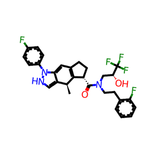 C[C@H]1C2=CNN(c3ccc(F)cc3)C2=CC2=C1[C@@H](C(=O)N(CCc1ccccc1F)C[C@@H](O)C(F)(F)F)CC2